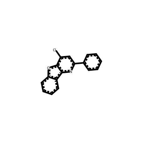 Clc1cc(-c2ccccc2)nc2c1oc1ccccc12